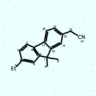 CCc1ccc2c(c1)C(C)(C)c1cc(CC#N)ccc1-2